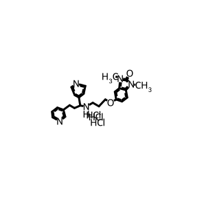 Cl.Cl.Cl.Cn1c(=O)n(C)c2cc(OCCCNC(CCc3cccnc3)c3ccncc3)ccc21